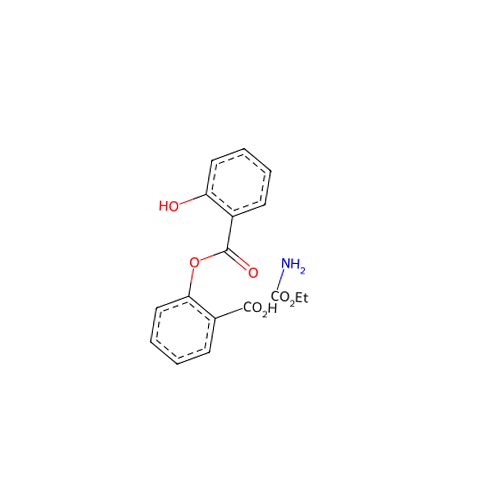 CCOC(N)=O.O=C(Oc1ccccc1C(=O)O)c1ccccc1O